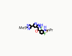 CCCSNc1c(F)ccc(C(=O)c2n[nH]c3ncc(-c4cnc(SC)nc4)cc23)c1F